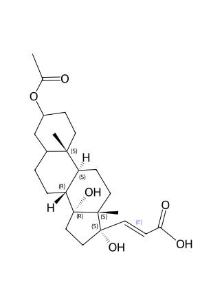 CC(=O)OC1CC[C@@]2(C)C(CC[C@@H]3[C@@H]2CC[C@]2(C)[C@@](O)(/C=C/C(=O)O)CC[C@@]32O)C1